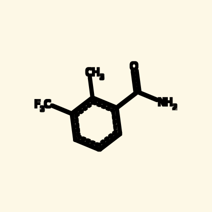 Cc1c(C(N)=O)cccc1C(F)(F)F